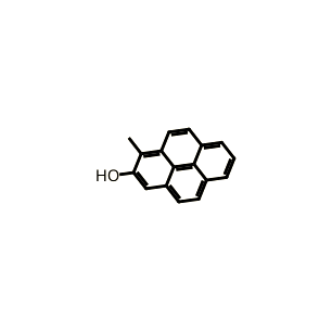 Cc1c(O)cc2ccc3cccc4ccc1c2c34